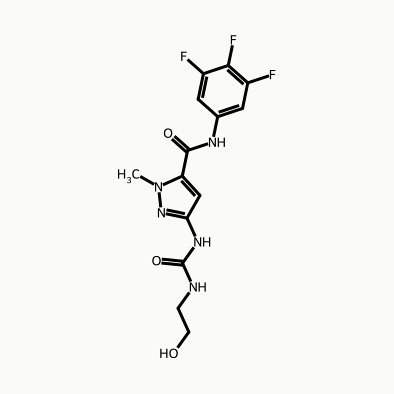 Cn1nc(NC(=O)NCCO)cc1C(=O)Nc1cc(F)c(F)c(F)c1